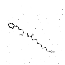 CCCCCCCCCCCCCCCCCC(=O)OC[C@@H](O)COCc1ccccc1